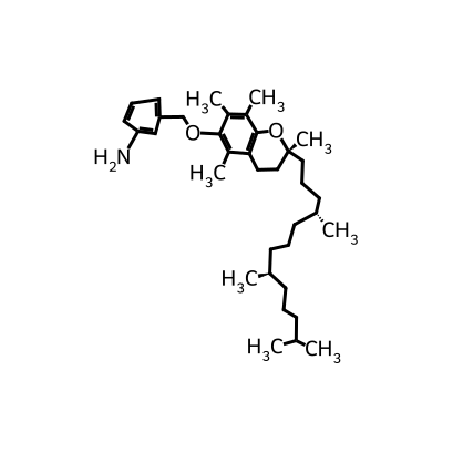 Cc1c(C)c2c(c(C)c1OCc1cccc(N)c1)CC[C@@](C)(CCC[C@H](C)CCC[C@H](C)CCCC(C)C)O2